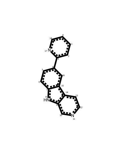 c1ccc(-c2ccc3[nH]c4cnccc4c3c2)nc1